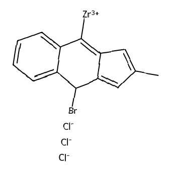 CC1=CC2=[C]([Zr+3])c3ccccc3C(Br)C2=C1.[Cl-].[Cl-].[Cl-]